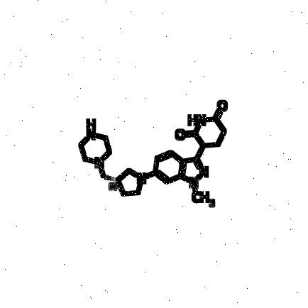 Cn1nc(C2CCC(=O)NC2=O)c2ccc(N3CC[C@H](CN4CCNCC4)C3)cc21